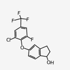 OC1CCc2cc(Oc3c(F)cc(C(F)(F)F)cc3Cl)ccc21